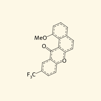 COc1cccc2ccc3oc4ccc(C(F)(F)F)cc4c(=O)c3c12